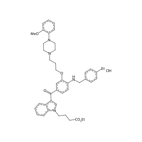 CCOC(=O)CCCn1cc(C(=O)c2ccc(NCc3ccc(CC)cc3)c(OCCCN3CCN(c4ccccc4OC)CC3)c2)c2ccccc21.Cl